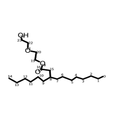 CCCCCCCCC(CCCCCC)CC(=O)OCCOCCO